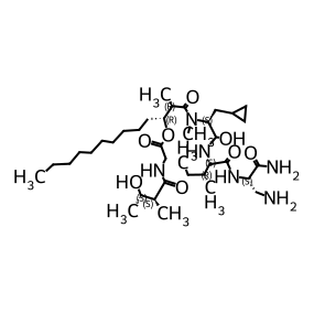 CCCCCCCCCC[C@@H](OC(=O)CNC(=O)[C@@H](C)[C@H](C)O)[C@@H](C)C(=O)N(C)[C@@H](CC1CC1)C(O)N[C@H](C(=O)N[C@@H](CN)C(N)=O)[C@H](C)CC